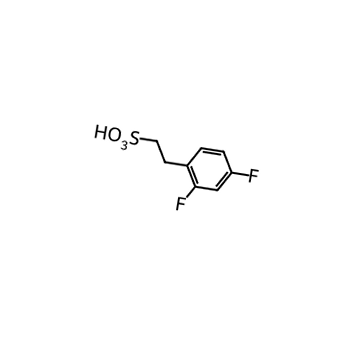 O=S(=O)(O)CCc1ccc(F)cc1F